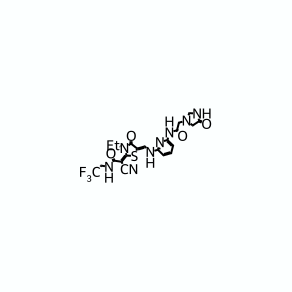 CCn1c(=C(C#N)C(=O)NCC(F)(F)F)sc(=CNc2cccc(NC(=O)CN3CNC(=O)C3)n2)c1=O